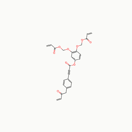 C=CC(=O)Cc1ccc(C#CC(=O)Oc2ccc(OCOC(=O)C=C)c(OCOC(=O)C=C)c2)cc1